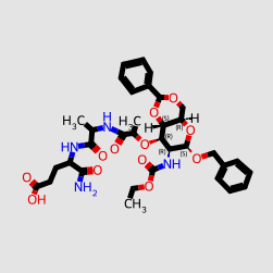 CCOC(=O)N[C@H]1[C@@H](OCc2ccccc2)O[C@@H]2COC(c3ccccc3)O[C@H]2[C@@H]1OC(C)C(=O)NC(C)C(=O)NC(CCC(=O)O)C(N)=O